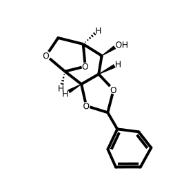 O[C@H]1[C@@H]2OC(c3ccccc3)O[C@@H]2[C@H]2OC[C@@H]1O2